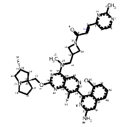 Cc1nccc(/C=C/C(=O)N2CC(CN(C)c3nc(OC[C@@]45CCCN4C[C@H](F)C5)nc4c(F)c(-c5nc(N)cc6cccc(Cl)c56)ncc34)C2)n1